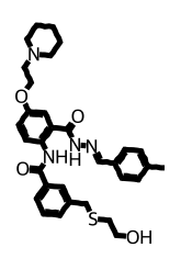 Cc1ccc(C=NNC(=O)c2cc(OCCN3CCCCC3)ccc2NC(=O)c2cccc(CSCCO)c2)cc1